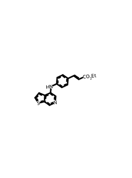 CCOC(=O)C=Cc1ccc(Nc2cncc3sccc23)cc1